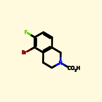 O=C(O)N1CCc2c(ccc(F)c2Br)C1